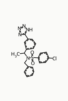 CC(c1cccc(-c2nnn[nH]2)c1)N(Cc1ccccc1)S(=O)(=O)c1ccc(Cl)cc1